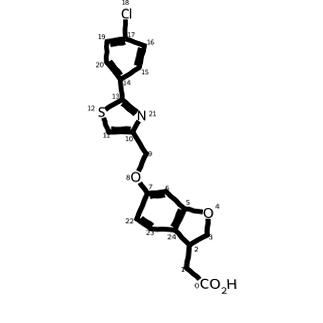 O=C(O)CC1COc2cc(OCc3csc(-c4ccc(Cl)cc4)n3)ccc21